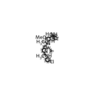 COc1cc(C(=O)N2[C@H]3CC[C@@H]2[C@H](N)C3)cc2nc(-c3cc4ccc([C@@H](C)Nc5cccc(Cl)n5)nc4n3CC3CC3)c(C)n12